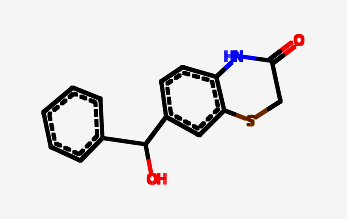 O=C1CSc2cc(C(O)c3ccccc3)ccc2N1